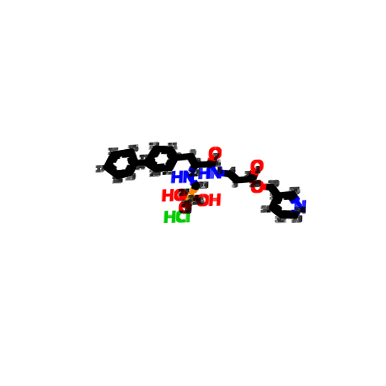 Cl.O=C(CCNC(=O)C(Cc1ccc(-c2ccccc2)cc1)NCP(=O)(O)O)OCc1cccnc1